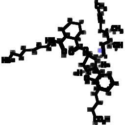 CC#CC[C@H](C)[C@H](O)/C=C/[C@H]1C(OC(=O)C2CCCCC2C(=O)NCCCCCCS)C[C@@H]2Oc3c(CCCC(=O)O)cccc3[C@@H]21